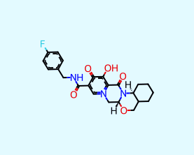 O=C(NCc1ccc(F)cc1)c1cn2c(c(O)c1=O)C(=O)N1[C@@H](C2)OCC2CCCC[C@@H]21